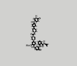 COc1cc(N2CCN(C(=O)CN3CCC(c4ccc(NC5CCC(=O)NC5=O)cc4)CC3)CC2)ccc1Nc1ncc(Br)c(Nc2ccccc2C(=O)NC2CC2)n1